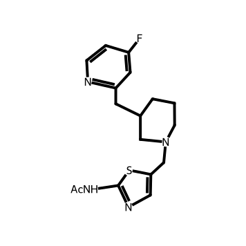 CC(=O)Nc1ncc(CN2CCCC(Cc3cc(F)ccn3)C2)s1